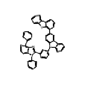 c1ccc(-c2cccc3c2nc(-c2cccc(-n4c5ccccc5c5cc(-c6cccc7c6sc6ccccc67)ccc54)c2)n3-c2ccccc2)cc1